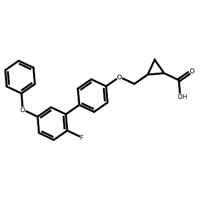 O=C(O)C1CC1COc1ccc(-c2cc(Oc3ccccc3)ccc2F)cc1